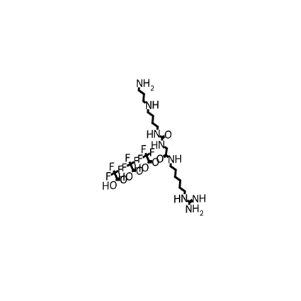 N=C(N)NCCCCCCNC(=O)CNC(=O)NCCCCNCCCN.O=C(O)C(F)(F)F.O=C(O)C(F)(F)F.O=C(O)C(F)(F)F